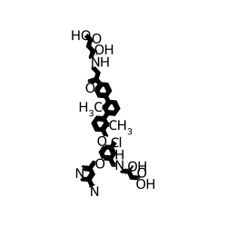 Cc1c(COc2cc(OCc3cncc(C#N)c3)c(CNC[C@@H](O)CC(=O)O)cc2Cl)cccc1-c1cccc(-c2ccc3c(CCNC[C@@H](O)CC(=O)O)coc3c2)c1C